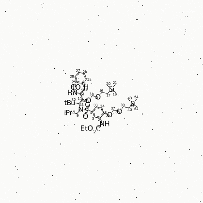 CCOC(=O)Nc1cc(S(=O)(=O)N(CC(C)C)C([C@H](OCOCC[Si](C)(C)C)[C@H](Cc2ccccc2)NC(=O)O)C(C)(C)C)ccc1OCOCC[Si](C)(C)C